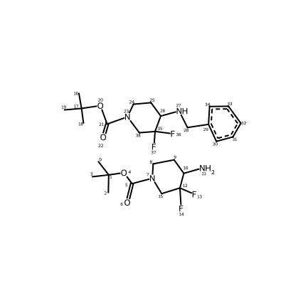 CC(C)(C)OC(=O)N1CCC(N)C(F)(F)C1.CC(C)(C)OC(=O)N1CCC(NCc2ccccc2)C(F)(F)C1